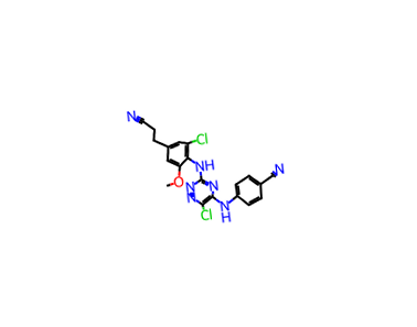 COc1cc(CCC#N)cc(Cl)c1Nc1nnc(Cl)c(Nc2ccc(C#N)cc2)n1